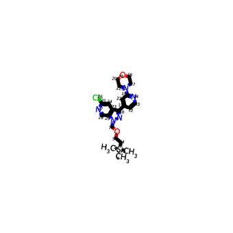 C[Si](C)(C)CCOCn1nc(-c2ccnc(N3CCOCC3)c2)c2cc(Cl)ncc21